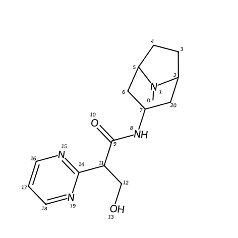 CN1C2CCC1CC(NC(=O)C(CO)c1ncccn1)C2